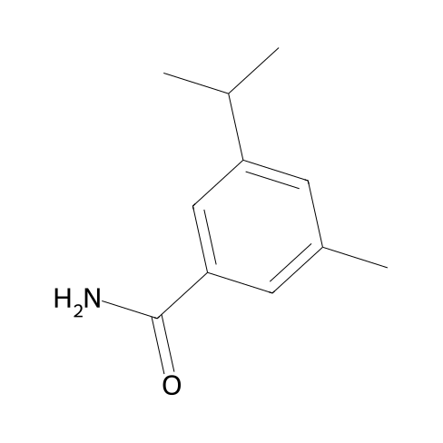 Cc1cc(C(N)=O)cc(C(C)C)c1